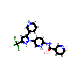 O=C(Nc1ccc(-n2nc(C(F)(F)F)cc2-c2cccnc2)cn1)c1cccnc1